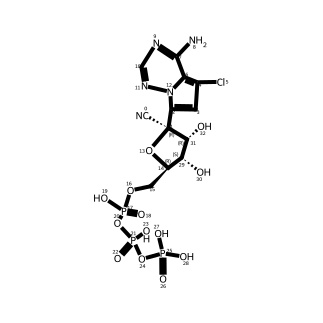 N#C[C@@]1(c2cc(Cl)c3c(N)ncnn23)O[C@H](COP(=O)(O)OP(=O)(O)OP(=O)(O)O)[C@@H](O)[C@H]1O